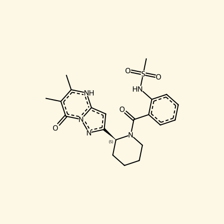 Cc1[nH]c2cc([C@@H]3CCCCN3C(=O)c3ccccc3NS(C)(=O)=O)nn2c(=O)c1C